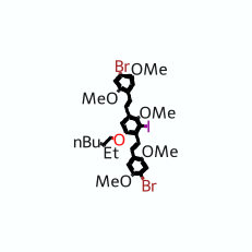 CCCCC(CC)COc1cc(C=Cc2cc(OC)c(Br)cc2OC)c(OC)c(I)c1C=Cc1cc(OC)c(Br)cc1OC